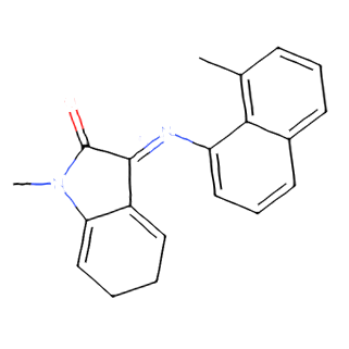 Cc1cccc2cccc(/N=C3/C(=O)N(C)C4=CCCC=C43)c12